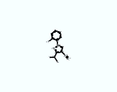 [C-]#[N+]c1cn(-c2ccccc2F)nc1C(C)C